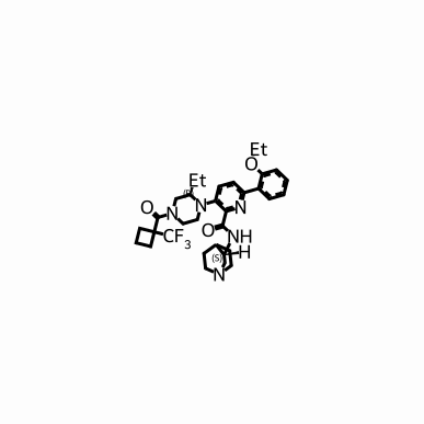 CCOc1ccccc1-c1ccc(N2CCN(C(=O)C3(C(F)(F)F)CCC3)C[C@H]2CC)c(C(=O)N[C@@H]2CN3CCC2CC3)n1